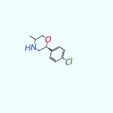 CC1CO[C@@H](c2ccc(Cl)cc2)CN1